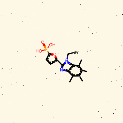 Cc1c(C)c(C)c2c(nc(-c3ccc(P(=O)(O)O)o3)n2CC(C)C)c1C